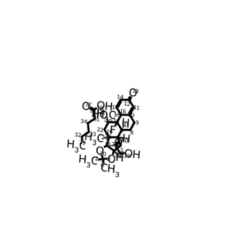 CC1(C)O[C@@H]2C[C@H]3[C@@H]4CCC5=CC(=O)C=C[C@]5(C)C4(F)[C@@H](O)C[C@]3(C)[C@]2(C(=O)CO)O1.CCCCCC(=O)O